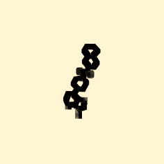 O=S(=O)(c1ccc2ccccc2c1)N1CCC(c2ccnc3[nH]cnc23)CC1